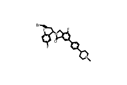 CN1CCC(c2ccc(-c3cc(F)c4c(c3)C(=O)N(C(CC#CBr)c3cc(F)ccc3F)C4)cc2)CC1